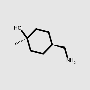 C[C@]1(O)CC[C@@H](CN)CC1